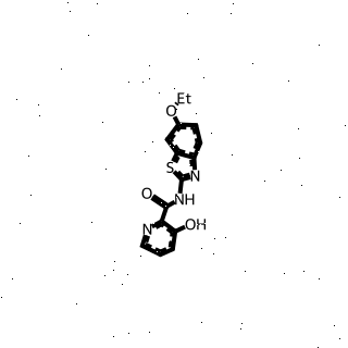 CCOc1ccc2nc(NC(=O)c3ncccc3O)sc2c1